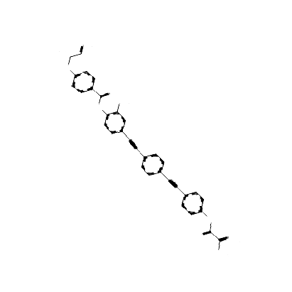 C=C[C@@H](C)Oc1ccc(C(=O)Oc2ccc(C#Cc3ccc(C#Cc4ccc(OC(=O)C(=C)C)cc4)cc3)cc2C)cc1